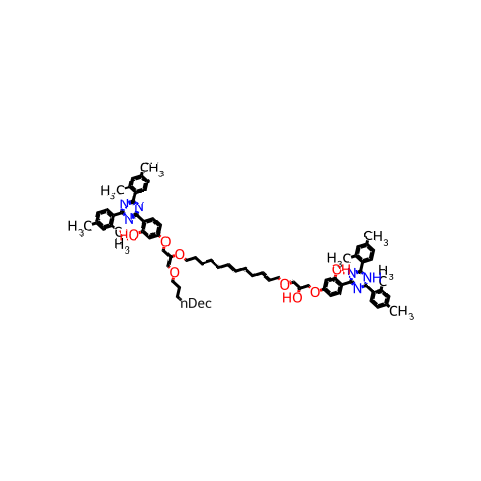 CCCCCCCCCCCCCOCC(COc1ccc(-c2nc(-c3ccc(C)cc3C)nc(-c3ccc(C)cc3C)n2)c(O)c1)OCCCCCCCCCCCCOCC(O)COc1ccc(C2=NC(c3ccc(C)cc3C)NC(c3ccc(C)cc3C)=N2)c(O)c1